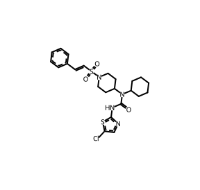 O=C(Nc1ncc(Cl)s1)N(C1CCCCC1)C1CCN(S(=O)(=O)/C=C/c2ccccc2)CC1